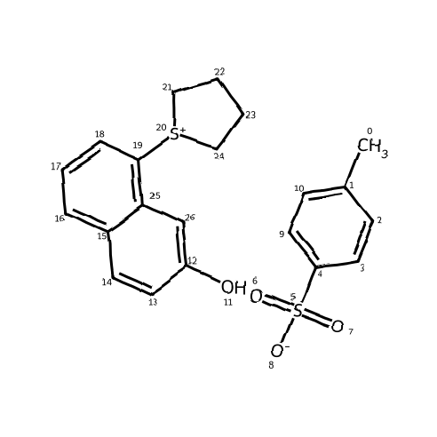 Cc1ccc(S(=O)(=O)[O-])cc1.Oc1ccc2cccc([S+]3CCCC3)c2c1